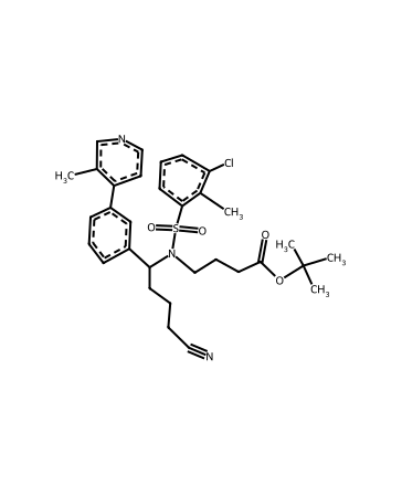 Cc1cnccc1-c1cccc(C(CCCC#N)N(CCCC(=O)OC(C)(C)C)S(=O)(=O)c2cccc(Cl)c2C)c1